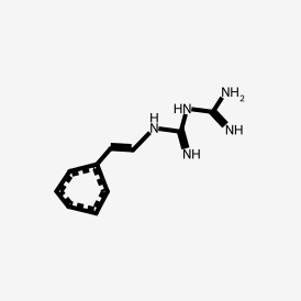 N=C(N)NC(=N)NC=Cc1ccccc1